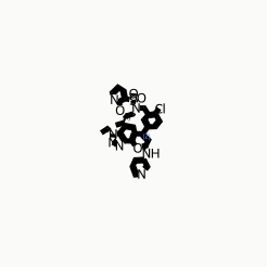 CC[C@@H]1CN(Cc2cc(/C(=C/C(=O)Nc3cccnc3)c3ccc4c(nnn4CC)c3C)ccc2Cl)S(=O)(=O)c2cccnc2O1